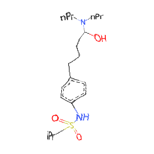 CCCN(CCC)C(O)CCCc1ccc(NS(=O)(=O)C(C)C)cc1